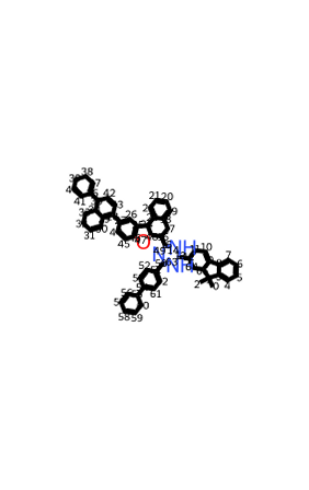 CC1(C)c2ccccc2C2=CCC(C3NC(C4Cc5ccccc5C5c6cc(C7=C8C=CCCC8C(C8=CCCC=C8)C=C7)ccc6OC45)=NC(c4ccc(C5C=CC=CC5)cc4)N3)CC21